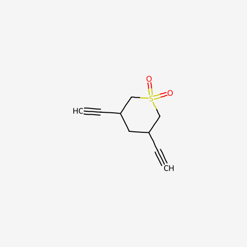 C#CC1CC(C#C)CS(=O)(=O)C1